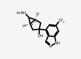 CC(=O)NC1[C@H]2CC(O)(c3cc(C(F)(F)F)cc4[nH]ncc34)C[C@@H]12